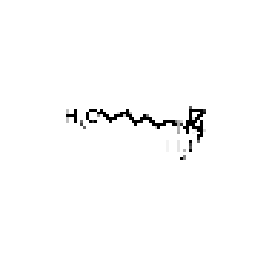 CCCCCCCCNC1(CC)CC1